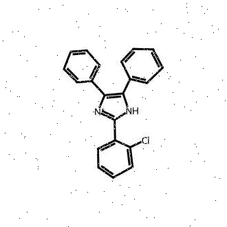 Clc1ccccc1C1=[N+]C(c2ccccc2)=C(c2ccccc2)N1